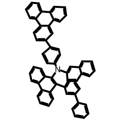 c1ccc(-c2cccc(-c3c(N(c4ccc(-c5ccc6c7ccccc7c7ccccc7c6c5)cc4)c4ccc5ccccc5c4)c4ccccc4c4ccccc34)c2)cc1